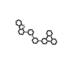 c1cc(-c2cccc(-c3cccc4c3sc3ccccc34)c2)cc(-c2ccc3c4ccccc4c4ccccc4c3c2)c1